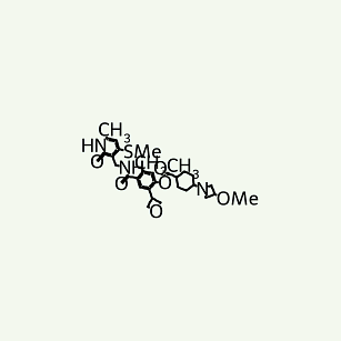 COC1CN(C2CCC(C3(C)Oc4c(C5COC5)cc(C(=O)NCc5c(SC)cc(C)[nH]c5=O)c(C)c4O3)CC2)C1